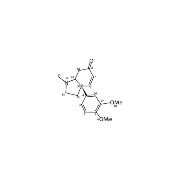 COc1ccc([C@]23C=CC(=O)CC2N(C)CC3)cc1OC